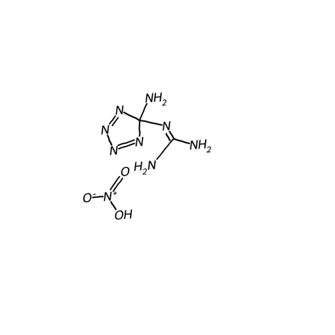 NC(N)=NC1(N)N=NN=N1.O=[N+]([O-])O